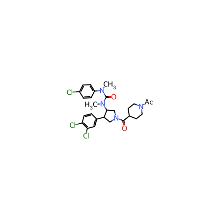 CC(=O)N1CCC(C(=O)N2CC(c3ccc(Cl)c(Cl)c3)C(N(C)C(=O)N(C)c3ccc(Cl)cc3)C2)CC1